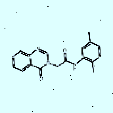 Cc1ccc(C)c(NC(=O)Cn2cnc3ccccc3c2=O)c1